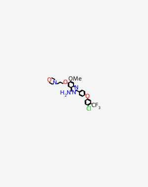 COc1cc2nc(-c3ccc(Oc4ccc(Cl)c(C(F)(F)F)c4)cc3)nc(N)c2cc1OCCCN1CCOCC1